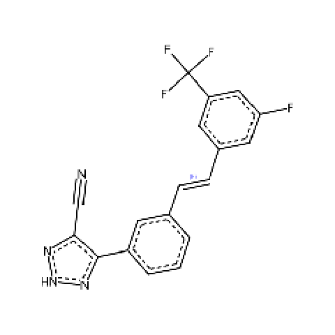 N#Cc1n[nH]nc1-c1cccc(/C=C/c2cc(F)cc(C(F)(F)F)c2)c1